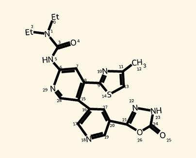 CCN(CC)C(=O)Nc1cc(-c2nc(C)cs2)c(-c2cncc(-c3n[nH]c(=O)o3)c2)cn1